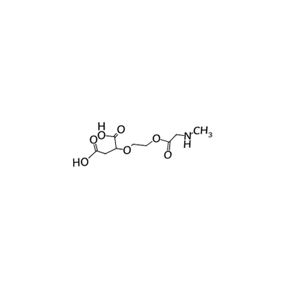 CNCC(=O)OCCOC(CC(=O)O)C(=O)O